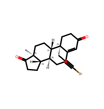 C[C@]12CC[C@H]3[C@@H](CCC4=CC(=O)CC[C@@]43CC#CBr)[C@@H]1CCC2=O